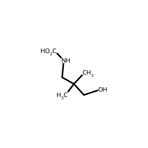 CC(C)(CO)CNC(=O)O